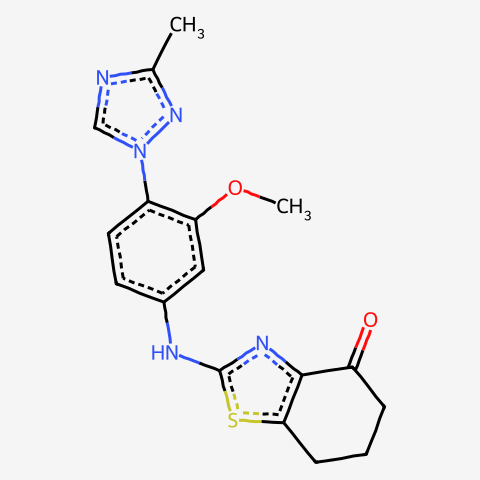 COc1cc(Nc2nc3c(s2)CCCC3=O)ccc1-n1cnc(C)n1